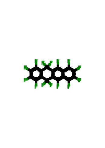 Fc1c(F)c(F)c2c(c1F)C(F)(F)c1c(c(F)c3c(F)c(F)c(F)c(F)c3c1F)C2(F)F